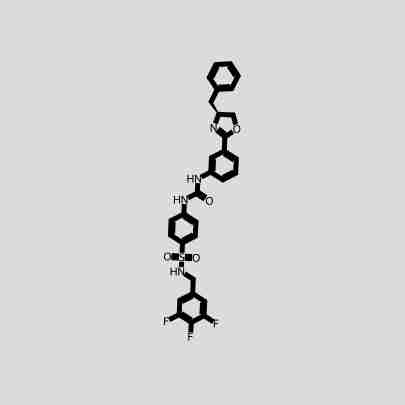 O=C(Nc1ccc(S(=O)(=O)NCc2cc(F)c(F)c(F)c2)cc1)Nc1cccc(C2=N[C@@H](Cc3ccccc3)CO2)c1